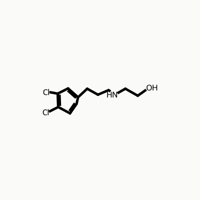 OCCNCCCc1ccc(Cl)c(Cl)c1